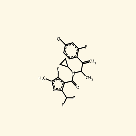 C=C(c1ccc(Cl)cc1F)C(C)N(C(=O)c1c(C(F)F)nn(C)c1F)C1CC1